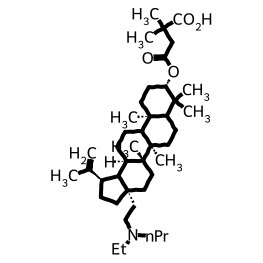 C=C(C)[C@@H]1CC[C@]2(CCN(CC)CCC)CC[C@]3(C)[C@H](CCC4[C@@]5(C)CC[C@H](OC(=O)CC(C)(C)C(=O)O)C(C)(C)C5CC[C@]43C)C12